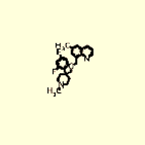 Cc1cc(COCC2(c3ccc(F)cc3F)CCN(C)CC2)c2ncccc2c1